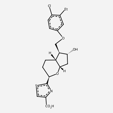 CCc1cc(OC[C@@H]2[C@H]3CC[C@H](c4nc(C(=O)O)cs4)O[C@H]3C[C@H]2O)ccc1Cl